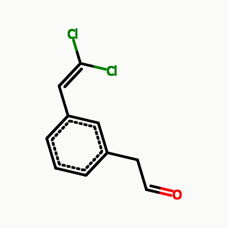 O=CCc1cccc(C=C(Cl)Cl)c1